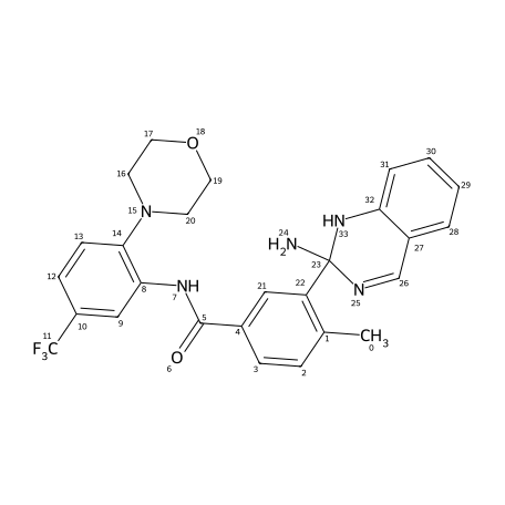 Cc1ccc(C(=O)Nc2cc(C(F)(F)F)ccc2N2CCOCC2)cc1C1(N)N=Cc2ccccc2N1